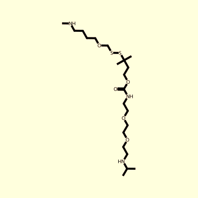 CNCCCCOCSSC(C)(C)CCOC(=O)NCCOCCOCCNC(C)C